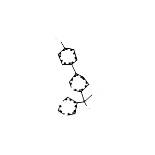 CC(C)(C)C(O)(c1cncnc1)c1ccc(-c2ccc(C#N)cc2)cn1